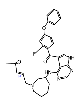 CC(=O)/C=C/CN1CCCCC(Nc2ncnc3[nH]cc(C(=O)c4ccc(Oc5ccccc5)cc4F)c23)C1